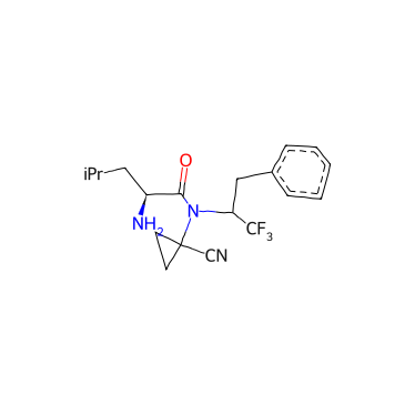 CC(C)C[C@H](N)C(=O)N(C(Cc1ccccc1)C(F)(F)F)C1(C#N)CC1